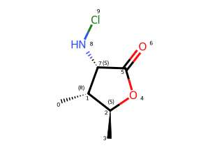 C[C@H]1[C@H](C)OC(=O)[C@H]1NCl